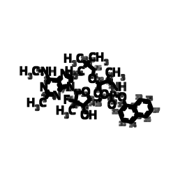 CNc1nc(C)nc2c1ncn2[C@@H]1O[C@H](CO[P@@](=O)(N[C@H](C)C(=O)OCC(C)(C)C)Oc2cccc3ccccc23)[C@@H](O)[C@@]1(C)F